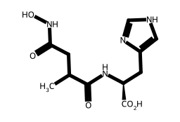 CC(CC(=O)NO)C(=O)N[C@@H](Cc1c[nH]cn1)C(=O)O